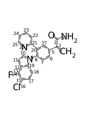 C=C(C(N)=O)c1ccc(-n2ccc3c(F)c(Cl)ccc32)c(-c2ccccn2)c1